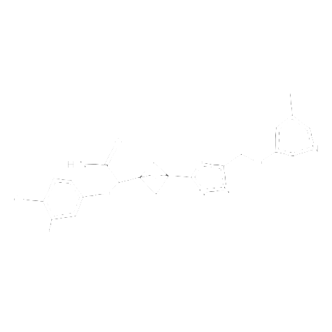 Cc1cncc(OCc2nnc(C34CC(C(Oc5ccc(Cl)c(F)c5)C(N)=O)(C3)C4)o2)c1